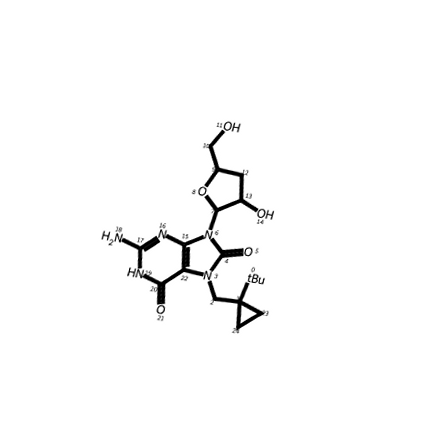 CC(C)(C)C1(Cn2c(=O)n(C3OC(CO)CC3O)c3nc(N)[nH]c(=O)c32)CC1